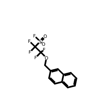 O=S(=O)(F)C(F)(F)C(F)(F)OCc1ccc2ccccc2c1